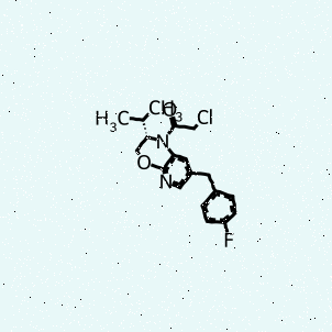 CC(C)[C@H]1COc2ncc(Cc3ccc(F)cc3)cc2N1C(=O)CCl